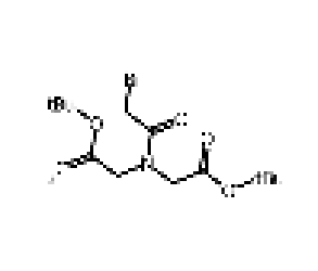 C=C(CN(CC(=O)OC(C)(C)C)C(=O)CBr)OC(C)(C)C